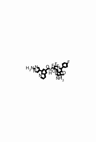 C[C@]1(C(N)=O)COc2c1cc(C(O)(CNC(=O)c1cc(-c3cnc(N)nc3)c3ncccc3c1)C(F)(F)F)nc2-c1ccc(F)cc1